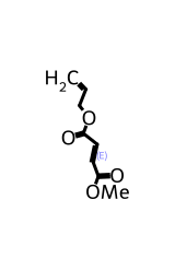 C=CCOC(=O)/C=C/C(=O)OC